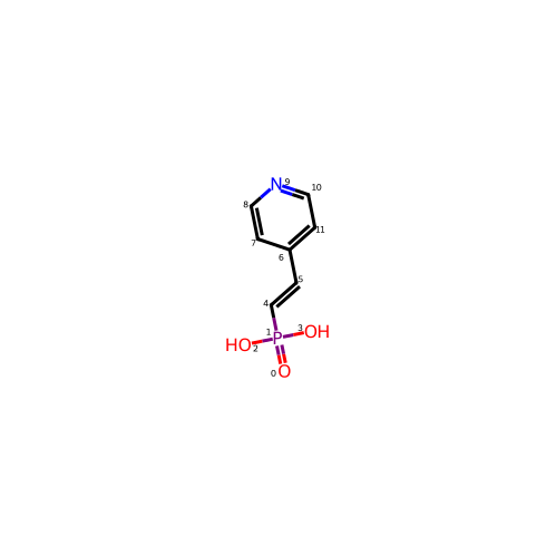 O=P(O)(O)/C=C/c1ccncc1